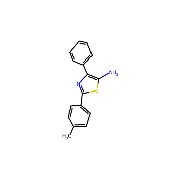 Cc1ccc(-c2nc(-c3ccccc3)c(N)s2)cc1